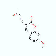 COc1ccc2cc(/C=C/C(C)=O)c(=O)oc2c1